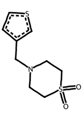 O=S1(=O)CCN(Cc2ccsc2)CC1